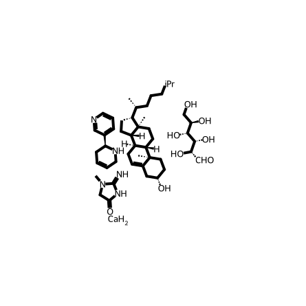 C1=CC[C@@H](c2cccnc2)NC1.CC(C)CCC[C@@H](C)[C@H]1CC[C@H]2[C@@H]3CC=C4C[C@@H](O)CC[C@]4(C)[C@H]3CC[C@]12C.CN1CC(=O)NC1=N.O=C[C@H](O)[C@@H](O)[C@H](O)[C@H](O)CO.[CaH2]